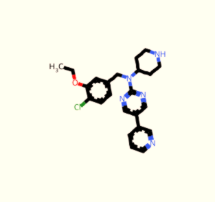 CCOc1cc(CN(c2ncc(-c3cccnc3)cn2)C2CCNCC2)ccc1Cl